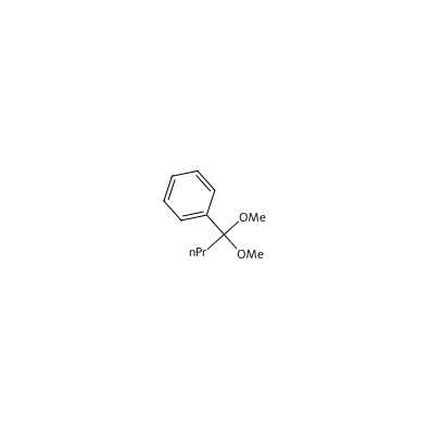 [CH2]CCC(OC)(OC)c1ccccc1